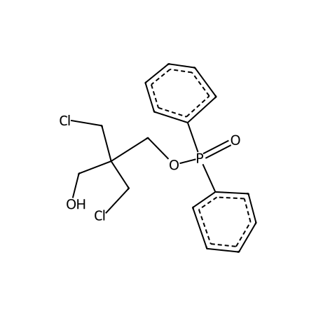 O=P(OCC(CO)(CCl)CCl)(c1ccccc1)c1ccccc1